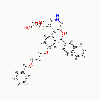 O=C(O)O.OCC1CNCC(OCc2ccc3ccccc3c2)C1c1ccc(OCCCOCc2ccccc2)cc1